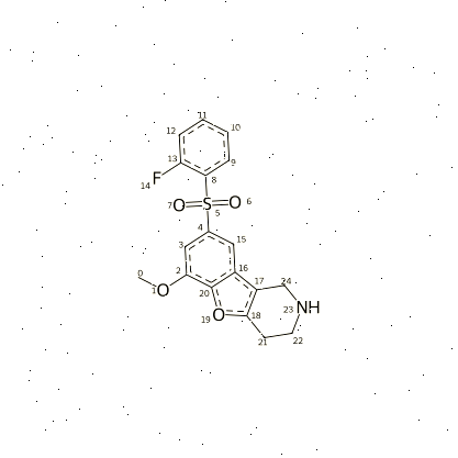 COc1cc(S(=O)(=O)c2ccccc2F)cc2c3c(oc12)CCNC3